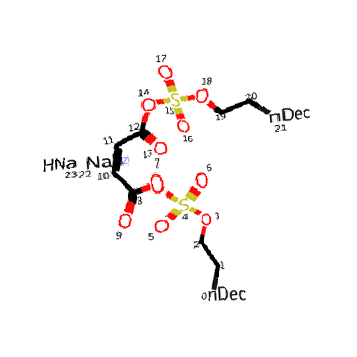 CCCCCCCCCCCCOS(=O)(=O)OC(=O)/C=C\C(=O)OS(=O)(=O)OCCCCCCCCCCCC.[NaH].[NaH]